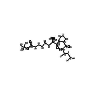 CC(C)CC(C)NC(=O)C1CCCN1C(=O)C(N)CSCCCC(=O)OC(C)(C)C